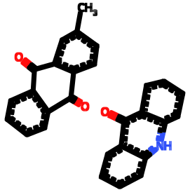 Cc1ccc2c(c1)C(=O)c1ccccc1C2=O.O=c1c2ccccc2[nH]c2ccccc12